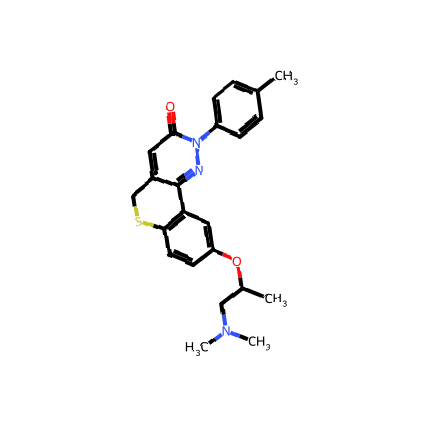 Cc1ccc(-n2nc3c(cc2=O)CSc2ccc(OC(C)CN(C)C)cc2-3)cc1